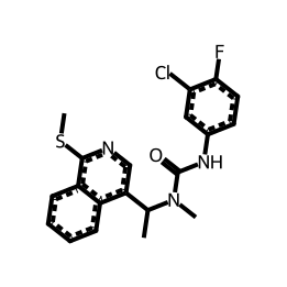 CSc1ncc(C(C)N(C)C(=O)Nc2ccc(F)c(Cl)c2)c2ccccc12